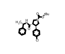 C[C@H](NC(=O)[C@@H]1CN(C(=O)OC(C)(C)C)C[C@H]1c1ccc(Cl)cc1)c1ccccc1